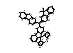 CC1(C)c2ccccc2-c2ccc(C(c3ccc4c(c3)-c3ccccc3C43c4ccccc4Oc4ccccc43)c3ccc4c(c3)oc3ccccc34)cc21